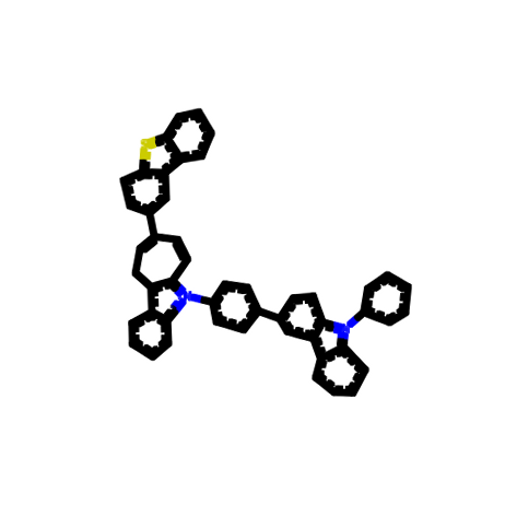 C1=Cc2c(c3ccccc3n2-c2ccc(-c3ccc4c(c3)c3ccccc3n4-c3ccccc3)cc2)CC=C1c1ccc2sc3ccccc3c2c1